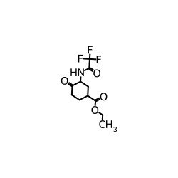 CCOC(=O)C1CCC(=O)C(NC(=O)C(F)(F)F)C1